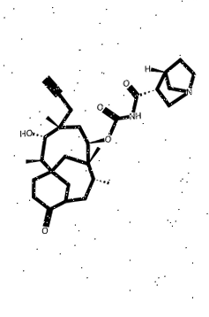 C#CC[C@]1(C)C[C@@H](OC(=O)NC(=O)[C@H]2CN3CC[C@@H]2C3)[C@@]2(C)CC3(CCC(=O)C(C[C@H]2C)C3)[C@@H](C)[C@@H]1O